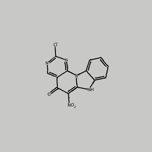 O=c1c([N+](=O)[O-])c2[nH]c3ccccc3n2c2nc(Cl)ncc12